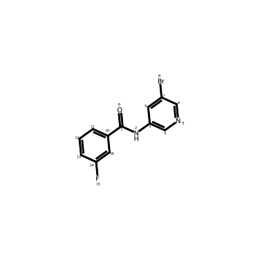 O=C(Nc1cncc(Br)c1)c1cccc(F)c1